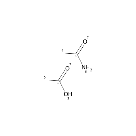 CC(=O)O.CC(N)=O